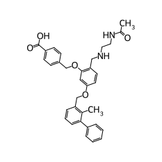 CC(=O)NCCNCc1ccc(OCc2cccc(-c3ccccc3)c2C)cc1OCc1ccc(C(=O)O)cc1